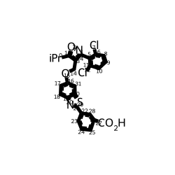 CC(C)c1onc(-c2c(Cl)cccc2Cl)c1COc1ccc2nc(-c3cccc(C(=O)O)c3)sc2c1